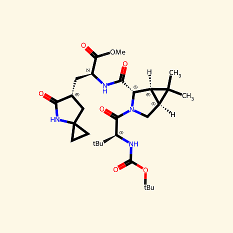 COC(=O)[C@H](C[C@@H]1CC2(CC2)NC1=O)NC(=O)[C@@H]1[C@@H]2[C@H](CN1C(=O)[C@@H](NC(=O)OC(C)(C)C)C(C)(C)C)C2(C)C